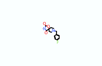 O=C1[N]C(=O)C2(CCN(Cc3ccc(F)cc3)CC2)O1